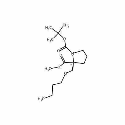 CCCCOC[C@]1(C(=O)OC)CCCN1C(=O)OC(C)(C)C